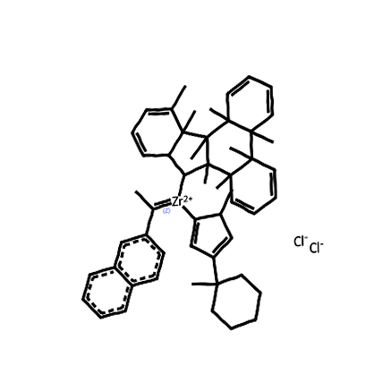 CC1=CC=CC2[CH](/[Zr+2]([C]3=CC(C4(C)CCCCC4)=CC3C)=[C](\C)c3ccc4ccccc4c3)C3(C)C4(C)C=CC=CC4(C)C4(C)C=CC=CC4(C)C3(C)C12C.[Cl-].[Cl-]